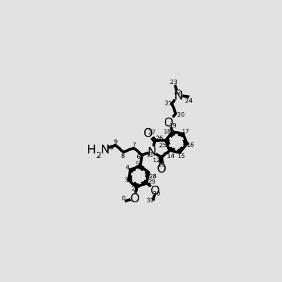 COc1ccc(C(CCCN)N2C(=O)c3cccc(OCCN(C)C)c3C2=O)cc1OC